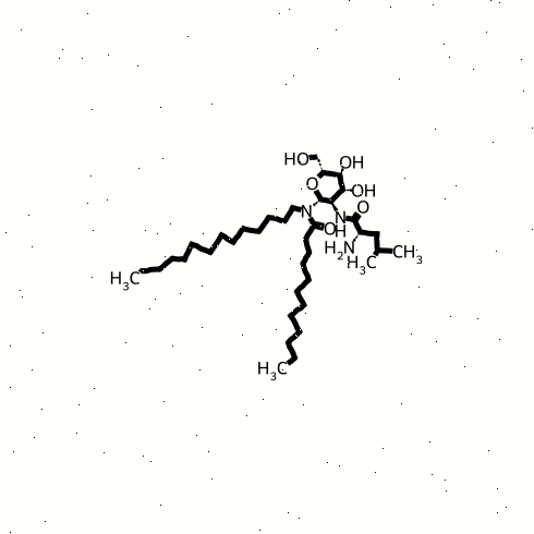 CCCCCCCCCCCCCCN(C(=O)CCCCCCCCCCC)[C@@H]1O[C@H](CO)[C@H](O)[C@H](O)[C@H]1NC(=O)[C@@H](N)CC(C)C